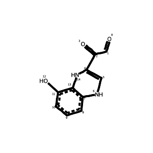 O=CC(=O)C1=CNc2cccc(O)c2N1